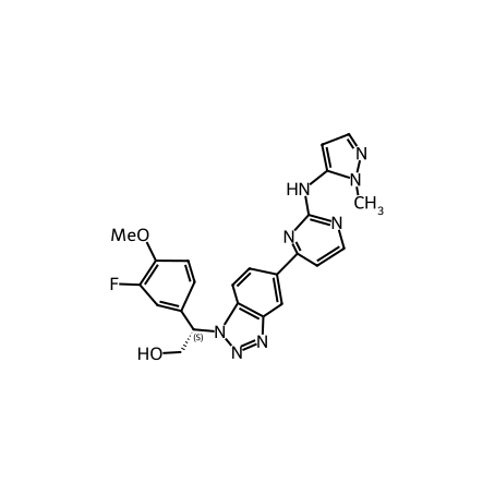 COc1ccc([C@@H](CO)n2nnc3cc(-c4ccnc(Nc5ccnn5C)n4)ccc32)cc1F